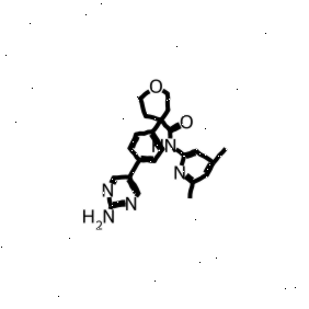 Cc1cc(C)nc(NC(=O)C2(c3ccc(-c4cnc(N)nc4)cc3)CCOCC2)c1